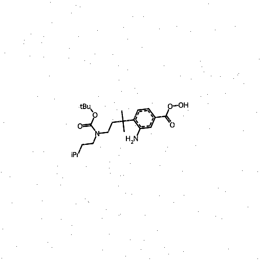 CC(C)CCN(CCC(C)(C)c1ccc(C(=O)OO)cc1N)C(=O)OC(C)(C)C